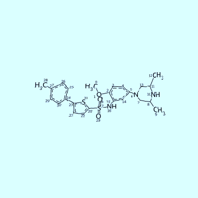 COc1ccc(N2CC(C)NC(C)C2)cc1NS(=O)(=O)c1ccc(-c2ccc(C)cc2)s1